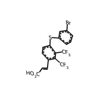 O=C(O)C=Cc1ccc(Sc2cccc(Br)c2)c(C(F)(F)F)c1C(F)(F)F